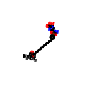 CC(C)(C)OC(=O)CCCCCCCCCCCCCc1ccc(S(=O)(=O)Nc2cnc(C(=O)O)nc2)cc1